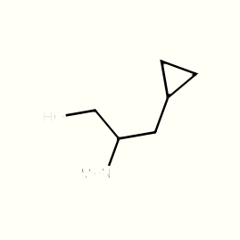 CNC(CO)CC1CC1